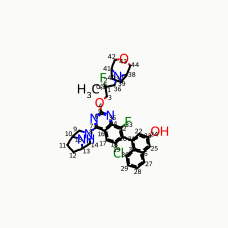 C[C@@](F)(COc1nc(N2CC3CCC(C2)N3)c2cc(Cl)c(-c3cc(O)cc4ccccc34)c(F)c2n1)CN1C2CCC1COC2